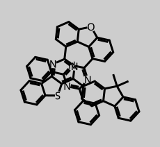 CC1(C)c2ccccc2-c2ccc(-c3nc(-c4cccc5oc6cccc(-c7nc(-c8ccccc8)nc(-c8ccccc8)n7)c6c45)nc4c3sc3ccccc34)cc21